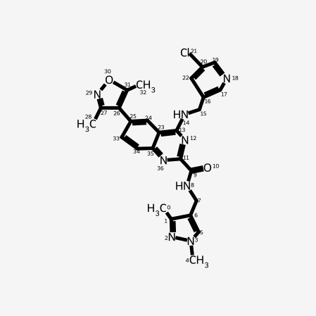 Cc1nn(C)cc1CNC(=O)c1nc(NCc2cncc(Cl)c2)c2cc(-c3c(C)noc3C)ccc2n1